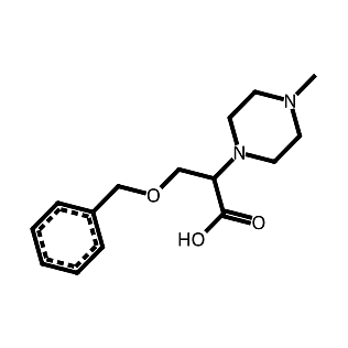 CN1CCN(C(COCc2ccccc2)C(=O)O)CC1